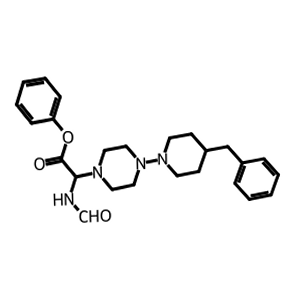 O=CNC(C(=O)Oc1ccccc1)N1CCN(N2CCC(Cc3ccccc3)CC2)CC1